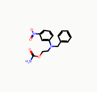 NC(=O)OCCN(Cc1ccccc1)c1cccc([N+](=O)[O-])c1